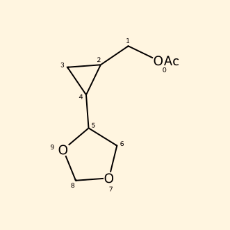 CC(=O)OCC1CC1C1COCO1